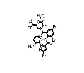 COC(=O)NN(CC=C(Cl)Cl)C(=O)c1cc(Br)cc(Br)c1NC(=O)c1cc(Br)nn1-c1ncccc1N